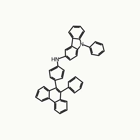 c1ccc(-c2c(-c3ccc(Nc4ccc5c(c4)c4ccccc4n5-c4ccccc4)cc3)c3ccccc3c3ccccc23)cc1